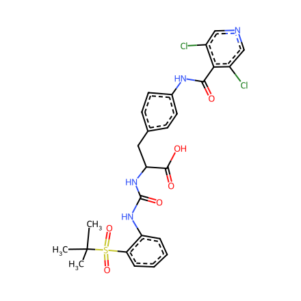 CC(C)(C)S(=O)(=O)c1ccccc1NC(=O)NC(Cc1ccc(NC(=O)c2c(Cl)cncc2Cl)cc1)C(=O)O